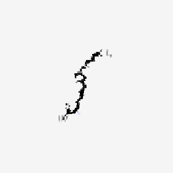 C=CCCOC[C@H]1CSC(CC=CC/C=C\C(=O)O)C1